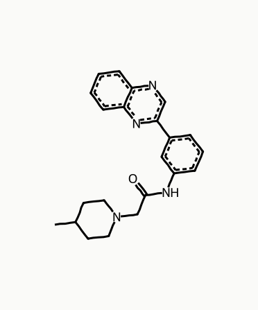 CC1CCN(CC(=O)Nc2cccc(-c3cnc4ccccc4n3)c2)CC1